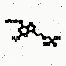 CCCCCOc1nc(N)nc2c1ncn2CCOCP(=O)(O)O